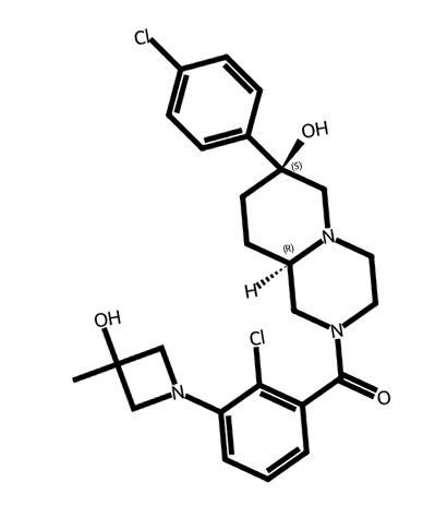 CC1(O)CN(c2cccc(C(=O)N3CCN4C[C@@](O)(c5ccc(Cl)cc5)CC[C@@H]4C3)c2Cl)C1